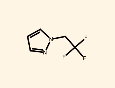 FC(F)(F)Cn1[c]ccn1